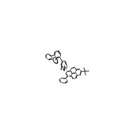 CC(C)(C)c1cc2ccc3c(-c4ccccc4)cc(-c4ccc(-c5cccc6c5oc5ccccc56)cn4)c4ccc(c1)c2c34